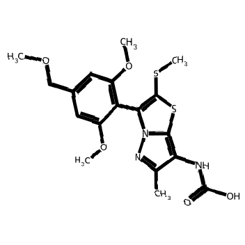 COCc1cc(OC)c(-c2c(SC)sc3c(NC(=O)O)c(C)nn23)c(OC)c1